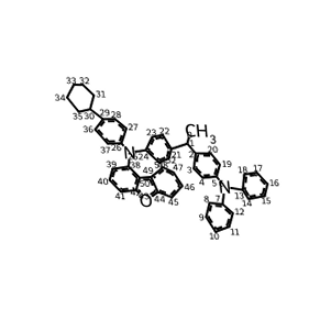 CC(c1ccc(N(c2ccccc2)c2ccccc2)cc1)c1ccc(N(c2ccc(C3CCCCC3)cc2)c2cccc3oc4ccccc4c23)cc1